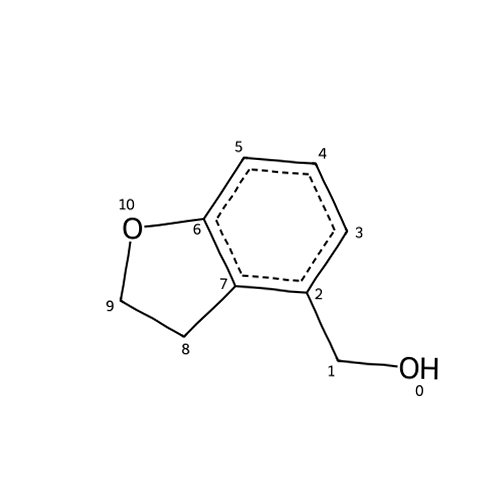 OCc1cccc2c1CCO2